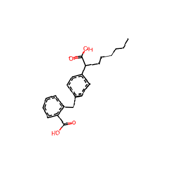 CCCCCCC(C(=O)O)c1ccc(Cc2ccccc2C(=O)O)cc1